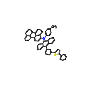 Cc1ccc(N(c2c3ccccc3c(-c3cccc(-c4ccc(-c5ccccc5)s4)c3)c3ccccc23)c2ccc3c4cccc5cccc(c6cccc2c63)c54)cc1